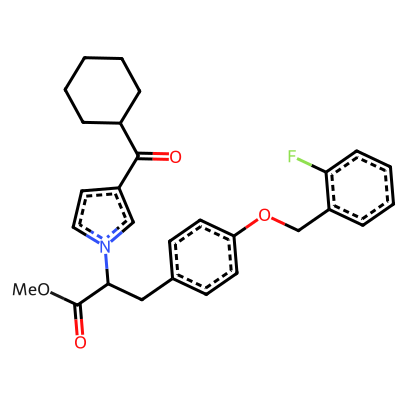 COC(=O)C(Cc1ccc(OCc2ccccc2F)cc1)n1ccc(C(=O)C2CCCCC2)c1